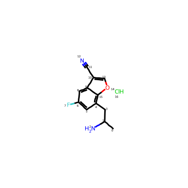 CC(N)Cc1cc(F)cc2c(C#N)coc12.Cl